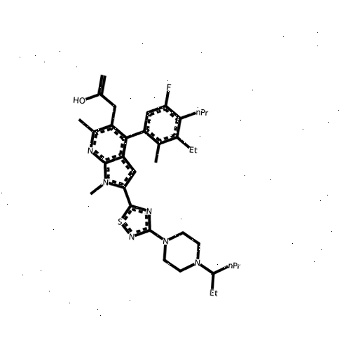 C=C(O)Cc1c(C)nc2c(cc(-c3nc(N4CCN(C(CC)CCC)CC4)ns3)n2C)c1-c1cc(F)c(CCC)c(CC)c1C